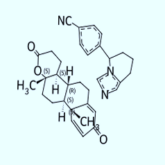 C[C@]12C=CC(=O)C=C1CC[C@@H]1[C@@H]2CC[C@]2(C)OC(=O)CC[C@@H]12.N#Cc1ccc(C2CCCc3cncn32)cc1